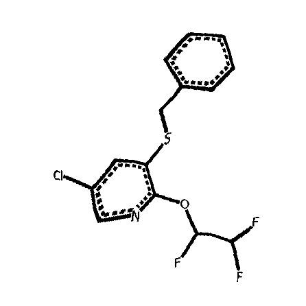 FC(F)C(F)Oc1ncc(Cl)cc1SCc1ccccc1